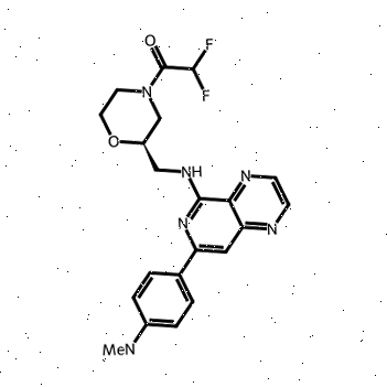 CNc1ccc(-c2cc3nccnc3c(NC[C@@H]3CN(C(=O)C(F)F)CCO3)n2)cc1